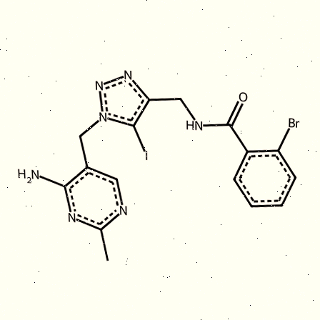 Cc1ncc(Cn2nnc(CNC(=O)c3ccccc3Br)c2I)c(N)n1